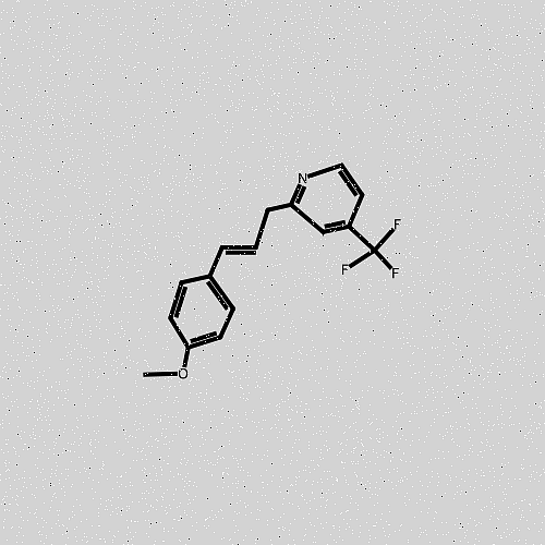 COc1ccc(C=CCc2[c]c(C(F)(F)F)ccn2)cc1